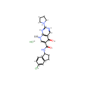 CCn1cc(C(=O)NC2CCc3cc(Cl)ccc32)c(=O)c2cnc(N3CCCC3)nc21.Cl